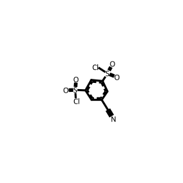 N#Cc1cc(S(=O)(=O)Cl)cc(S(=O)(=O)Cl)c1